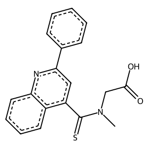 CN(CC(=O)O)C(=S)c1cc(-c2ccccc2)nc2ccccc12